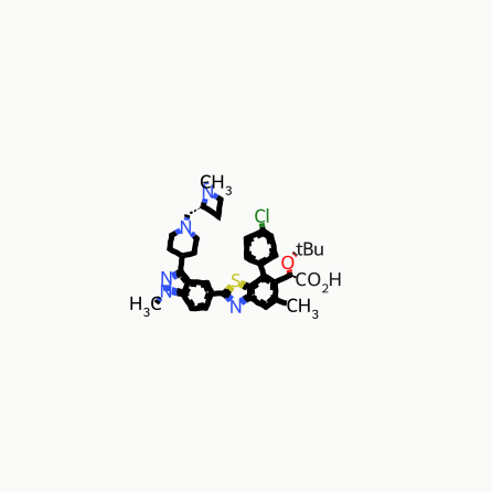 Cc1cc2nc(-c3ccc4c(c3)c(C3CCN(C[C@H]5CCN5C)CC3)nn4C)sc2c(-c2ccc(Cl)cc2)c1[C@H](OC(C)(C)C)C(=O)O